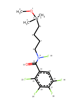 CO[Si](C)(C)CCCCN(F)C(=O)c1cc(F)c(F)c(F)c1F